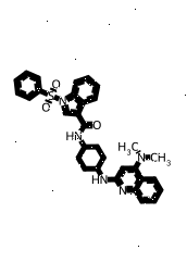 CN(C)c1cc(NC2CCC(NC(=O)c3cn(S(=O)(=O)c4ccccc4)c4ccccc34)CC2)nc2ccccc12